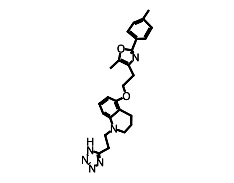 Cc1ccc(-c2nc(CCOc3cccc4c3CCCN4CCc3nnn[nH]3)c(C)o2)cc1